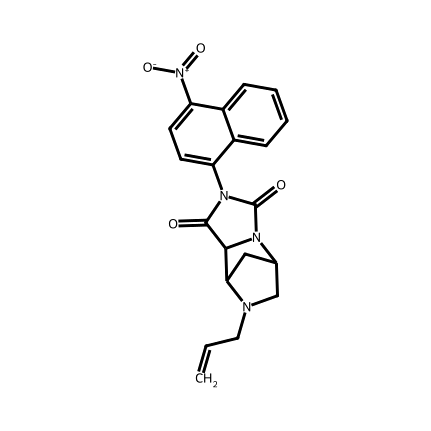 C=CCN1CC2CC1C1C(=O)N(c3ccc([N+](=O)[O-])c4ccccc34)C(=O)N21